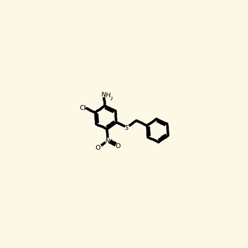 Nc1cc(SCc2ccccc2)c([N+](=O)[O-])cc1Cl